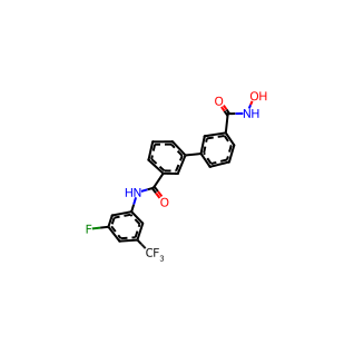 O=C(NO)c1cccc(-c2cccc(C(=O)Nc3cc(F)cc(C(F)(F)F)c3)c2)c1